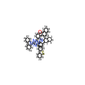 c1ccc2cc3c(cc2c1)c1ccccc1n3-c1c(-c2nc(-c3ccc4sc5ccccc5c4c3)nc(-n3c4ccccc4c4ccccc43)n2)ccc2oc3c4ccccc4ccc3c12